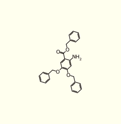 Nc1cc(OCc2ccccc2)c(OCc2ccccc2)cc1C(=O)OCc1ccccc1